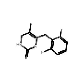 CC1=C(Cc2c(F)cccc2F)NC(=S)NC1